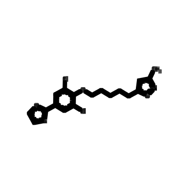 Cc1cc(CCCCCOc2c(Cl)cc(-c3ncco3)cc2Cl)on1